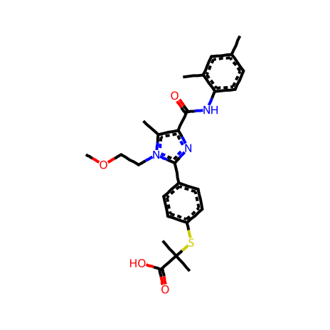 COCCn1c(-c2ccc(SC(C)(C)C(=O)O)cc2)nc(C(=O)Nc2ccc(C)cc2C)c1C